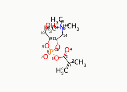 C=C(C)C(=O)OP(=O)(OCCO)OCC[N+](C)(C)C